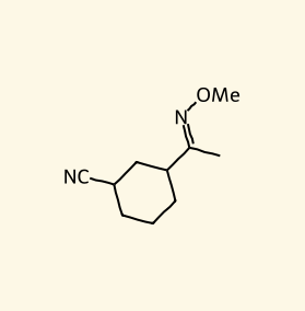 CON=C(C)C1CCCC(C#N)C1